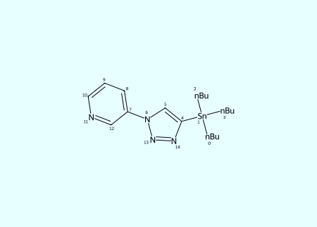 CCC[CH2][Sn]([CH2]CCC)([CH2]CCC)[c]1cn(-c2cccnc2)nn1